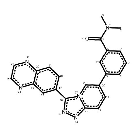 CN(C)C(=O)c1cccc(-c2ccc3nnc(-c4ccc5nccnc5c4)n3c2)c1